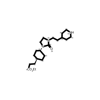 CCOC(=O)CC[C@H]1CC[C@H](N2CCN(CCC3CCNCC3)C2=O)CC1